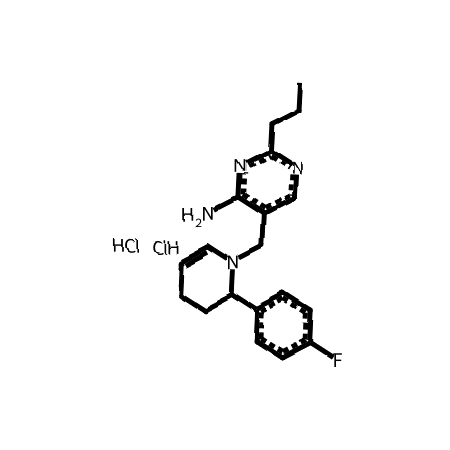 CCCc1ncc(CN2C=CCCC2c2ccc(F)cc2)c(N)n1.Cl.Cl